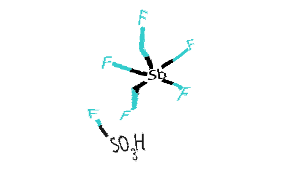 O=S(=O)(O)F.[F][Sb]([F])([F])([F])[F]